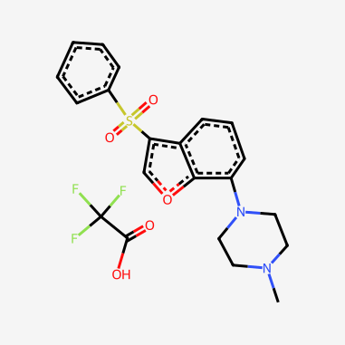 CN1CCN(c2cccc3c(S(=O)(=O)c4ccccc4)coc23)CC1.O=C(O)C(F)(F)F